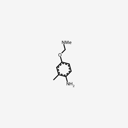 CNCOc1ccc(N)c(C)c1